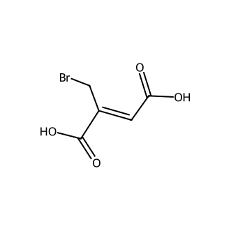 O=C(O)/C=C(\CBr)C(=O)O